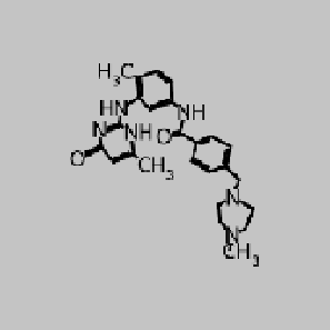 Cc1cc(=O)nc(Nc2cc(NC(=O)c3ccc(CN4CCN(C)CC4)cc3)ccc2C)[nH]1